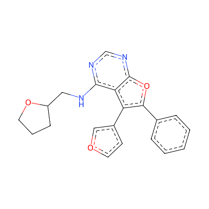 c1ccc(-c2oc3ncnc(NCC4CCCO4)c3c2-c2ccoc2)cc1